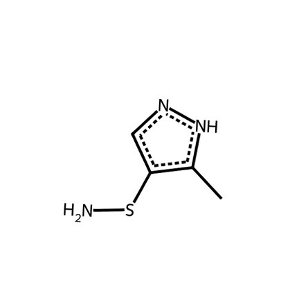 Cc1[nH]ncc1SN